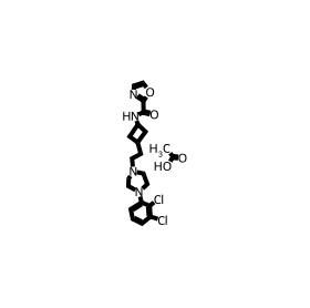 CC(=O)O.O=C(NC1CC(CCN2CCN(c3cccc(Cl)c3Cl)CC2)C1)c1ncco1